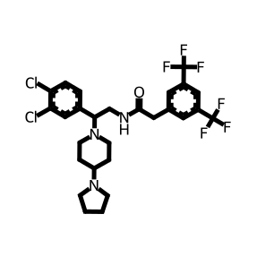 O=C(Cc1cc(C(F)(F)F)cc(C(F)(F)F)c1)NCC(c1ccc(Cl)c(Cl)c1)N1CCC(N2CCCC2)CC1